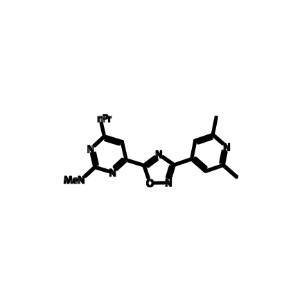 CCCc1cc(-c2nc(-c3cc(C)nc(C)c3)no2)nc(NC)n1